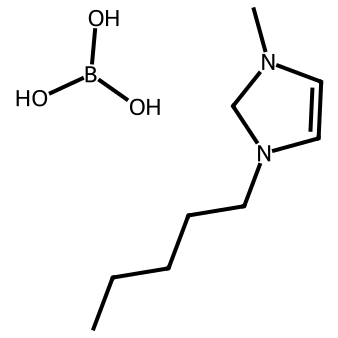 CCCCCN1C=CN(C)C1.OB(O)O